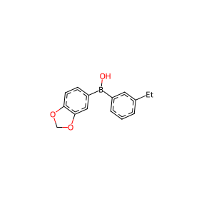 CCc1cccc(B(O)c2ccc3c(c2)OCO3)c1